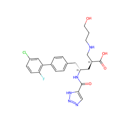 O=C(N[C@H](Cc1ccc(-c2cc(Cl)ccc2F)cc1)C[C@@H](CNCCCO)C(=O)O)c1cnn[nH]1